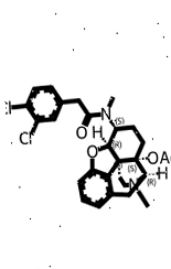 CC(=O)O[C@@]12CC[C@H](N(C)C(=O)Cc3ccc(Cl)c(Cl)c3)[C@@H]3Oc4cccc5c4[C@@]31CCN(C)[C@@H]2C5